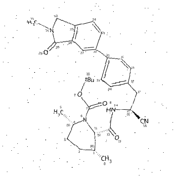 C[C@@H]1CC[C@H](C)N(C(=O)OC(C)(C)C)[C@@H]1C(=O)N[C@H](C#N)Cc1ccc(-c2ccc3c(c2)C(=O)N(C)C3)cc1